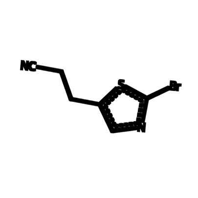 N#CCCc1cnc(Br)s1